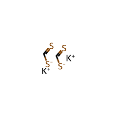 S=C[S-].S=C[S-].[K+].[K+]